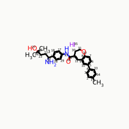 Cc1ccc(-c2ccc3c(c2)C=C(C(=O)Nc2ccc(C(N)CCC(C)(C)O)cc2)CCO3)cc1.I